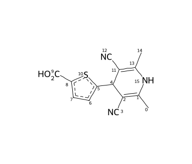 CC1=C(C#N)C(c2ccc(C(=O)O)s2)C(C#N)=C(C)N1